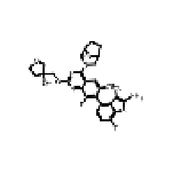 N#Cc1c(N)sc2c(F)ccc(-c3c(C(F)(F)F)cc4c(N5CC6CCC(C5)N6)nc(OCC5(O)CCOC5)nc4c3F)c12